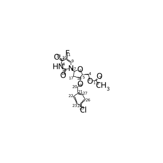 CC(=O)OC[C@@H]1O[C@H](n2cc(F)c(=O)[nH]c2=O)CC1OCc1ccc(Cl)cc1